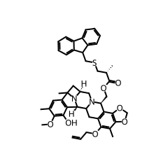 C=CCOc1c(C)c2c(c3c1CC1[C@@H]4c5c(cc(C)c(OC)c5O)C5(C)C[C@@H](CN1[C@H]3COC(=O)[C@@H](C)CSCC1c3ccccc3-c3ccccc31)N45)OCO2